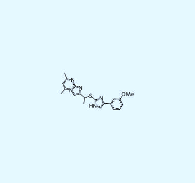 COc1cccc(-c2c[nH]c(SC(C)c3cn4c(C)cc(C)nc4n3)n2)c1